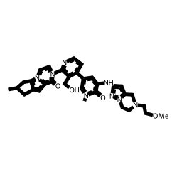 COCCN1CCn2nc(Nc3cc(-c4ccnc(-n5ccn6c7c(cc6c5=O)CC(C)C7)c4CO)cn(C)c3=O)cc2C1